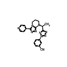 CC(c1nnn(-c2cccc(C#N)c2)n1)N1CCCn2c(-c3ccncc3)nnc21